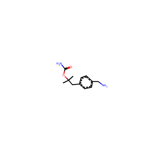 CC(C)(Cc1ccc(CN)cc1)OC(N)=O